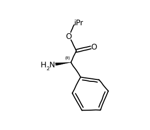 CC(C)OC(=O)[C@H](N)c1ccccc1